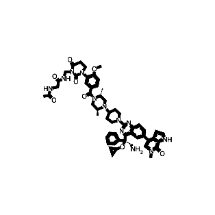 COc1ccc(C(=O)N2C[C@H](C)N(C3CCN(c4nc([C@@](CN)(OC5CC5)c5ccccc5)c5cc(-c6cn(C)c(=O)c7[nH]ccc67)ccc5n4)CC3)C[C@H]2C)cc1N1CCC(=O)N(CNC(=O)CNC(C)=O)C1=O